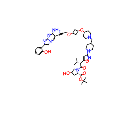 CC(C)[C@@H](C(=O)N1C[C@H](O)C[C@H]1C(=O)OC(C)(C)C)c1cc(N2CCC(CN3CCC(OC4CC(OCC#Cc5cn6cc(-c7ccccc7O)nc6nc5N)C4)CC3)CC2)no1